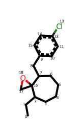 CCC1CCCCC(Cc2ccc(Cl)cc2)C12CO2